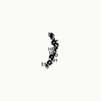 CCC(=O)N1CCC(Nc2cc(C(=O)NC[C@H](O)CN3CCc4c(ccc(OCc5cnco5)c4C)C3)ccn2)CC1